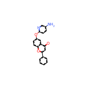 Nc1ccc(Oc2ccc3oc(-c4ccccc4)cc(=O)c3c2)nc1